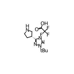 CC(C)(C)n1nnc([C@@H]2CCNC2)n1.O=C(O)C(F)(F)F